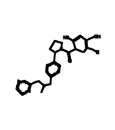 CN(Cc1ccc(C2CCCN2C(=O)C2CC(Cl)=C(O)C=C2O)cc1)Cc1cnccn1